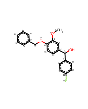 COc1cc(C(O)c2ccc(F)cc2)ccc1OCc1ccccc1